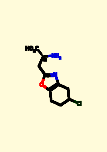 N[C@H](Cc1nc2c(o1)CCC(Cl)C2)C(=O)O